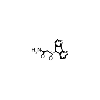 NC(=O)C[S+]([O-])C1c2ccsc2-c2sccc21